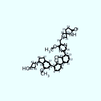 COc1cc(-c2cccc(-c3cccc(-c4cnc(CN5CC6(CCC(=O)N6)C5)c(OC)n4)c3Cl)c2Cl)cc2c1[C@H](N1CC(O)C1)CC2